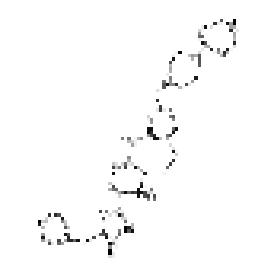 CN1C(=O)C(NC(=O)c2n[nH]c(Cc3ccccc3)n2)CCc2ccc(CN3CCN(c4ccncc4)CC3)cc21